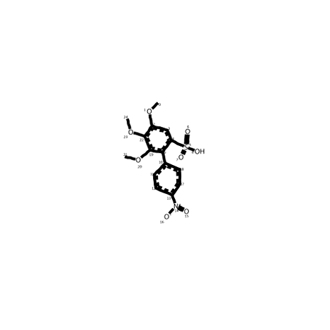 COc1cc(S(=O)(=O)O)c(-c2ccc([N+](=O)[O-])cc2)c(OC)c1OC